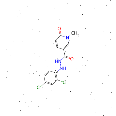 Cn1cc(C(=O)NNc2ccc(Cl)cc2Cl)ccc1=O